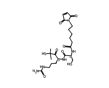 CC(C)(S)C(=O)[C@H](CCCNC(N)=O)NC(=O)[C@H](CO)NC(=O)CCCCCN1C(=O)C=CC1=O